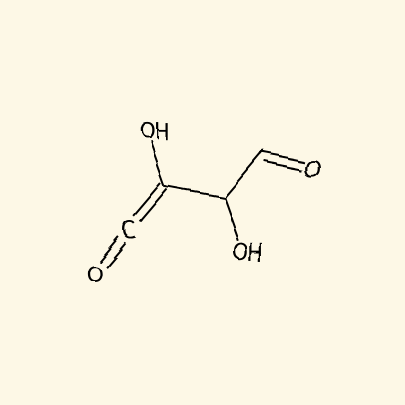 O=C=C(O)C(O)C=O